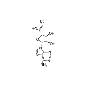 CCC=C(O)[C@H]1O[C@@H](n2cnc3c(N)ncnc32)[C@H](O)[C@@H]1O